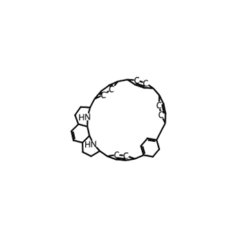 C1=CC2CCC1C1=CC=C(CC1)C1C=CC(CC1)C1CCC3C=CC4CCC(NC4C3N1)C1=CC=C(CC1)C1C=CC2CC1